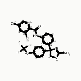 NC1=NC(c2ccc(OC(F)(F)F)cc2)(c2cccc(NC(=O)c3ncc(Cl)cc3Cl)c2)CS1